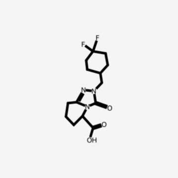 O=C(O)C1CCCc2nn(CC3CCC(F)(F)CC3)c(=O)n21